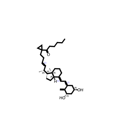 C=C1/C(=C\C=C2/CCC[C@]3(C)[C@@H]([C@H](C)/C=C/CCC4(C(=O)CCCCC)CC4)CC[C@@H]23)C[C@@H](O)C[C@@H]1O